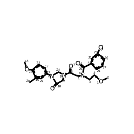 COCCN(CC(=O)N1CC(=O)N(c2ccc(OC)c(C)c2)C1)C(=O)c1cccc(Cl)c1